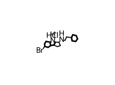 Brc1ccc2[nH]c3c(c2c1)CCC3NCCc1ccccc1.Cl